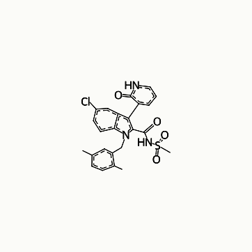 Cc1ccc(C)c(Cn2c(C(=O)NS(C)(=O)=O)c(-c3ccc[nH]c3=O)c3cc(Cl)ccc32)c1